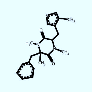 Cc1cscc1CC1C(=O)N(C)C(C)(Cc2ccccc2)C(=O)N1C